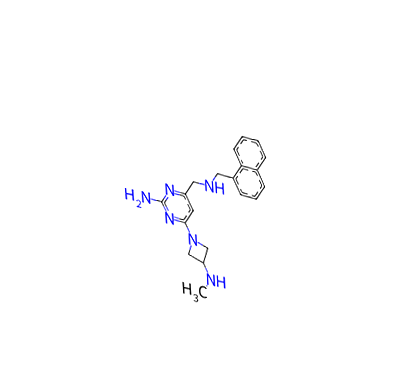 CNC1CN(c2cc(CNCc3cccc4ccccc34)nc(N)n2)C1